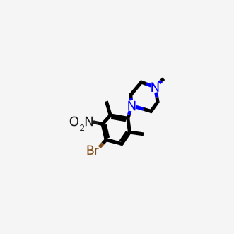 Cc1cc(Br)c([N+](=O)[O-])c(C)c1N1CCN(C)CC1